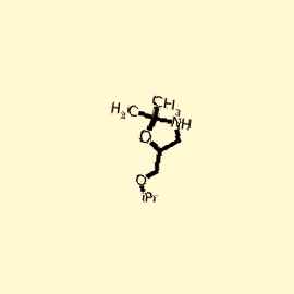 CC(C)OCC1CNC(C)(C)O1